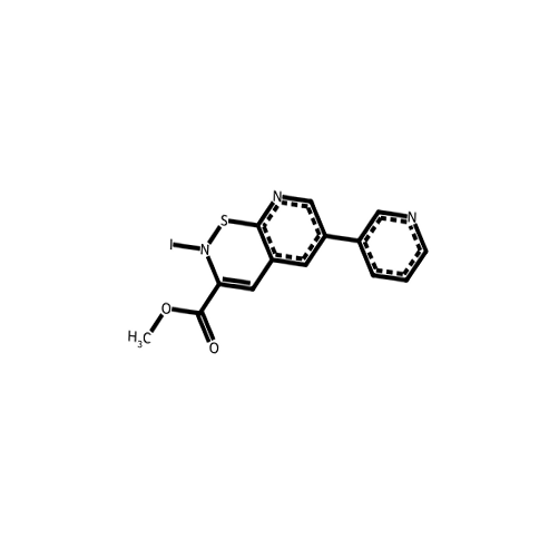 COC(=O)C1=Cc2cc(-c3cccnc3)cnc2SN1I